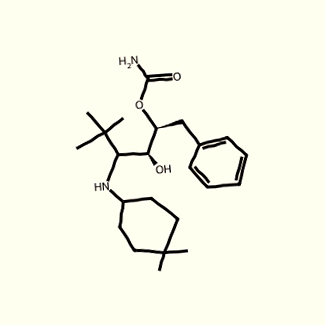 CC1(C)CCC(NC([C@H](O)[C@H](Cc2ccccc2)OC(N)=O)C(C)(C)C)CC1